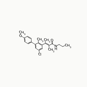 CCCNC(=O)/C(C)=C(\C)c1cc(Cl)cc(-c2ccc(OC)cc2)c1C